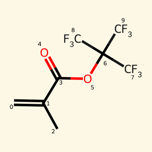 C=C(C)C(=O)OC(C(F)(F)F)(C(F)(F)F)C(F)(F)F